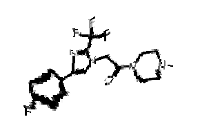 O=C(Cn1cc(-c2ccc(F)cc2)nc1C(F)(F)F)N1CCNCC1